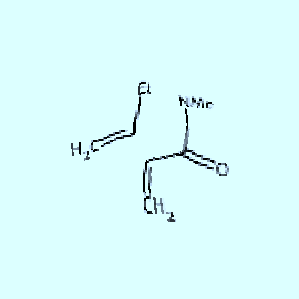 C=CC(=O)NC.C=CCC